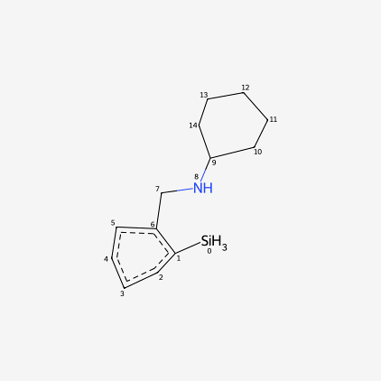 [SiH3]c1ccccc1CNC1CCCCC1